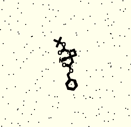 CC(C)(C)OC(=O)N1CCC1(C#N)CC(=O)OCc1ccccc1